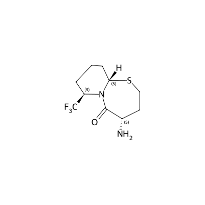 N[C@H]1CCS[C@H]2CCC[C@H](C(F)(F)F)N2C1=O